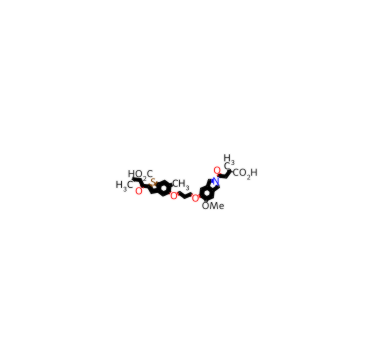 COc1cc2c(cc1OCCCOc1cc3cc(C(=O)C[C@H](C)C(=O)O)sc3cc1C)CN(C(=O)C[C@H](C)C(=O)O)C2